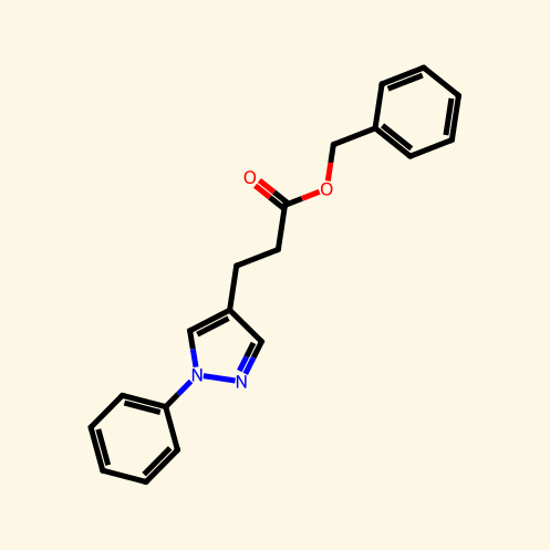 O=C(CCc1cnn(-c2ccccc2)c1)OCc1ccccc1